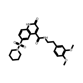 COc1ccc(CCNC(=O)c2cc(=O)[nH]c3ccc(S(=O)(=O)N4CCCCC4)cc23)cc1OC